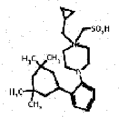 CC1(C)CC(c2ccccc2N2CC[N+](CC3CC3)(CS(=O)(=O)O)CC2)CC(C)(C)C1